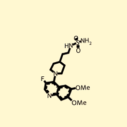 COc1cc2ncc(F)c(N3CCC(CCNS(N)(=O)=O)CC3)c2cc1OC